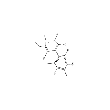 CCc1c(C)c(F)c(F)c(-c2c(C)c(F)c(C)c(F)c2F)c1F